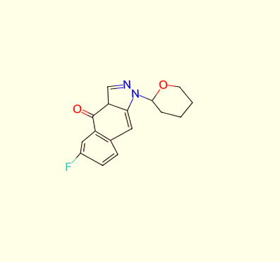 O=C1c2cc(F)ccc2C=C2C1C=NN2C1CCCCO1